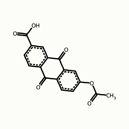 CC(=O)Oc1ccc2c(c1)C(=O)c1cc(C(=O)O)ccc1C2=O